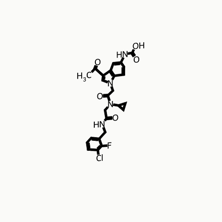 CC(=O)c1cn(CC(=O)N(CC(=O)NCc2cccc(Cl)c2F)C2CC2)c2ccc(NC(=O)O)cc12